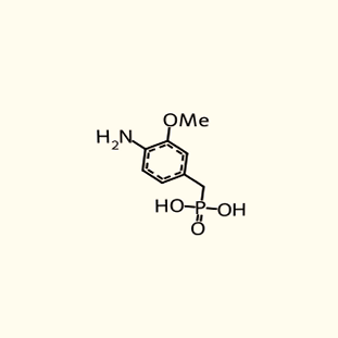 COc1cc(CP(=O)(O)O)ccc1N